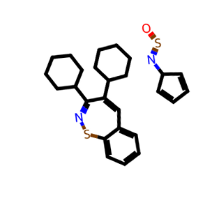 C1=C(C2CCCCC2)C(C2CCCCC2)=NSc2ccccc21.O=S=NC1C=CC=C1